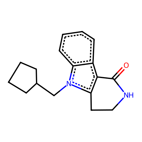 O=C1NCCc2c1c1ccccc1n2CC1CCCC1